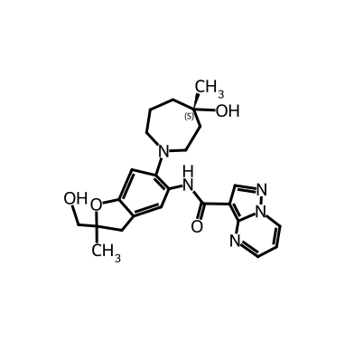 CC1(CO)Cc2cc(NC(=O)c3cnn4cccnc34)c(N3CCC[C@](C)(O)CC3)cc2O1